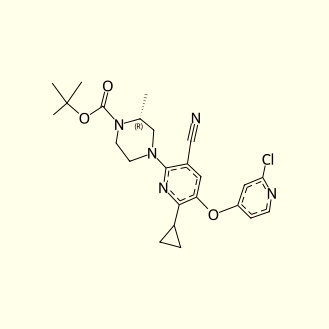 C[C@@H]1CN(c2nc(C3CC3)c(Oc3ccnc(Cl)c3)cc2C#N)CCN1C(=O)OC(C)(C)C